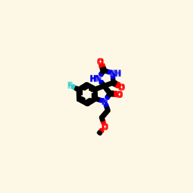 COCCN1C(=O)C2(NC(=O)NC2=O)c2cc(F)ccc21